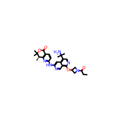 CCC(=O)N1CC(Oc2ncc(C(C)(C)N)c3cc(Nc4ccc5c(n4)[C@@H](C)C(C)(C)OC5=O)ncc23)C1